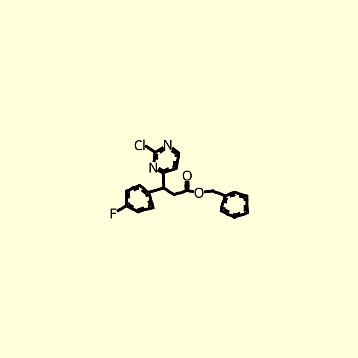 O=C(CC(c1ccc(F)cc1)c1ccnc(Cl)n1)OCc1ccccc1